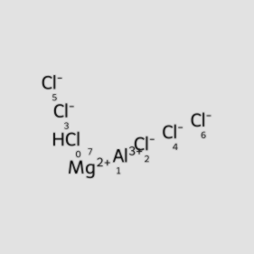 Cl.[Al+3].[Cl-].[Cl-].[Cl-].[Cl-].[Cl-].[Mg+2]